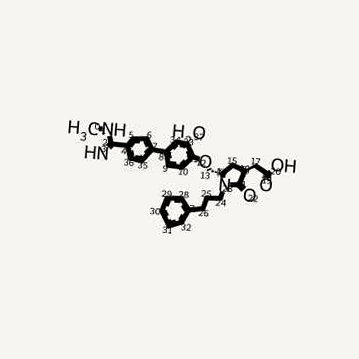 CNC(=N)c1ccc(-c2ccc(OC[C@@H]3C[C@@H](CC(=O)O)C(=O)N3CCCc3ccccc3)cc2)cc1.O